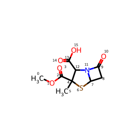 COC(=O)C1(C)SC2CC(=O)N2C1C(=O)O